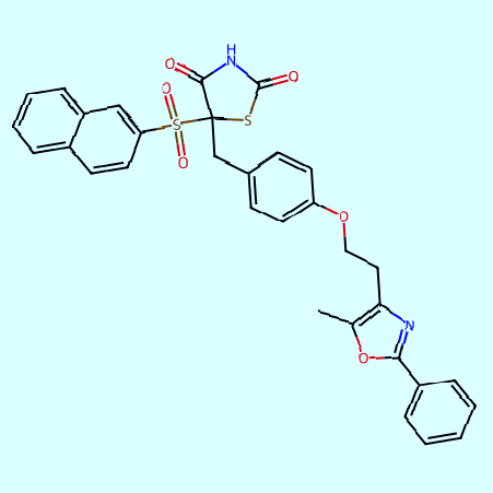 Cc1oc(-c2ccccc2)nc1CCOc1ccc(CC2(S(=O)(=O)c3ccc4ccccc4c3)SC(=O)NC2=O)cc1